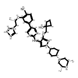 C[C@@H]1CN([C@H]2CC[C@H](n3cc(Nc4ncc(-c5ccc(C#N)c(O[C@@H](C)Cn6cnnn6)c5)cn4)c(OCC4(O)CCC4)n3)CC2)C[C@H](C)O1